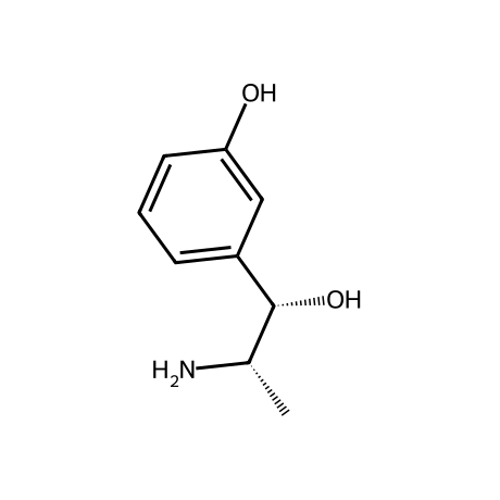 C[C@H](N)[C@@H](O)c1cccc(O)c1